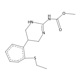 CCSc1ccccc1C1CN=C(NC(=O)OC)NC1